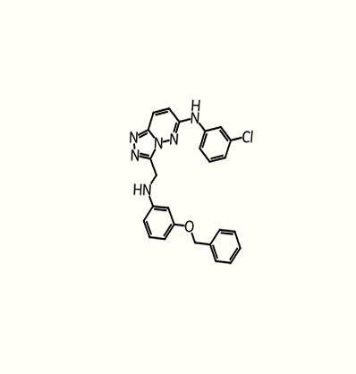 Clc1cccc(Nc2ccc3nnc(CNc4cccc(OCc5ccccc5)c4)n3n2)c1